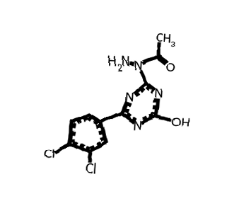 CC(=O)N(N)c1nc(O)nc(-c2ccc(Cl)c(Cl)c2)n1